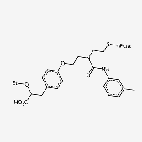 CCCCCSCCN(CCOc1ccc(CC(OCC)C(=O)O)cc1)C(=O)Nc1cccc(C)c1